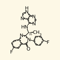 C[C@H](Nc1ncnc2[nH]cnc12)c1nc2ccc(F)cc2c(=O)n1-c1ccc(F)cc1